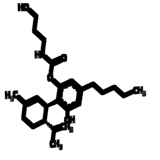 C=C(C)[C@@H]1CCC(C)=C[C@H]1c1c(O)cc(CCCCC)cc1OC(=O)NCCCO